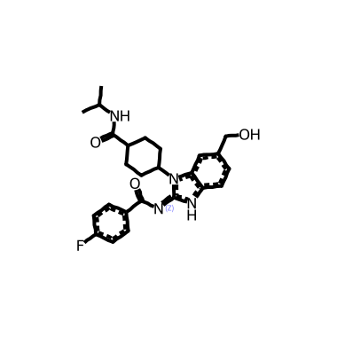 CC(C)NC(=O)C1CCC(n2/c(=N\C(=O)c3ccc(F)cc3)[nH]c3ccc(CO)cc32)CC1